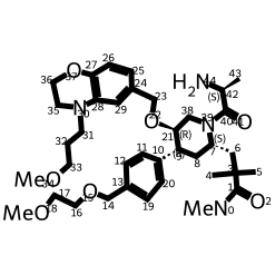 CNC(=O)C(C)(C)C[C@@H]1C[C@H](c2ccc(COCCOC)cc2)[C@@H](OCc2ccc3c(c2)N(CCCOC)CCO3)CN1C(=O)[C@H](C)N